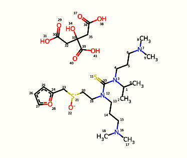 CC(C)N(CCCN(C)C)C(=S)N(CCCN(C)C)CC[S+]([O-])Cc1ccco1.O=C(O)CC(O)(CC(=O)O)C(=O)O